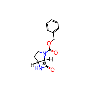 O=C1N[C@@H]2CCN(C(=O)OCc3ccccc3)[C@H]12